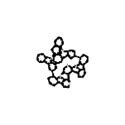 c1ccc(-n2c3ccccc3c3cc(-c4cccc5c6cccc7c8c9c%10cccc%11c%12cccc(-c%13ccc%14c(c%13)c%13ccccc%13n%14-c%13ccccc%13)c%12n(c9ncc8n(c45)c67)c%11%10)ccc32)cc1